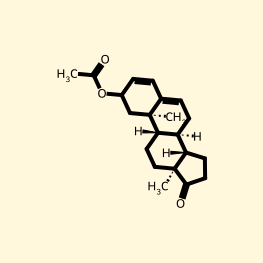 CC(=O)OC1C=CC2=CC[C@@H]3[C@H](CC[C@]4(C)C(=O)CC[C@@H]34)[C@@]2(C)C1